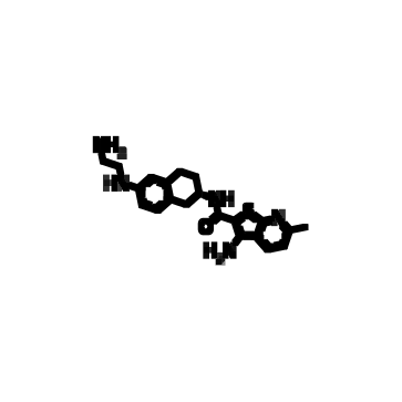 Cc1ccc2c(N)c(C(=O)N[C@@H]3CCc4cc(NCCN)ccc4C3)sc2n1